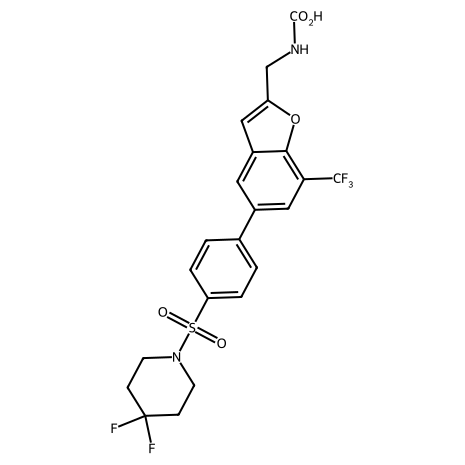 O=C(O)NCc1cc2cc(-c3ccc(S(=O)(=O)N4CCC(F)(F)CC4)cc3)cc(C(F)(F)F)c2o1